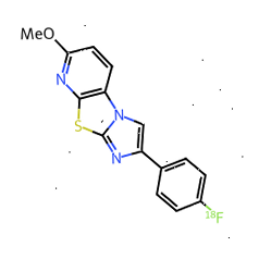 COc1ccc2c(n1)sc1nc(-c3ccc([18F])cc3)cn12